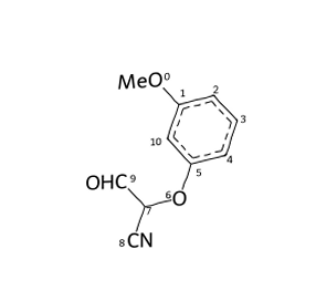 COc1cccc(OC(C#N)C=O)c1